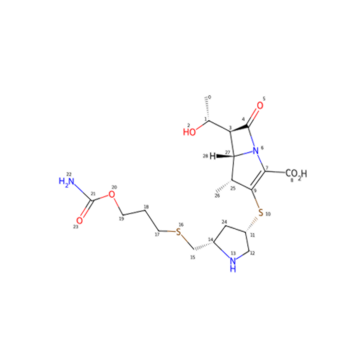 C[C@@H](O)[C@H]1C(=O)N2C(C(=O)O)=C(S[C@@H]3CN[C@H](CSCCCOC(N)=O)C3)[C@H](C)[C@H]12